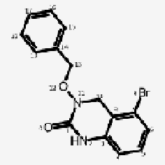 O=C1Nc2cccc(Br)c2CN1OCc1ccccc1